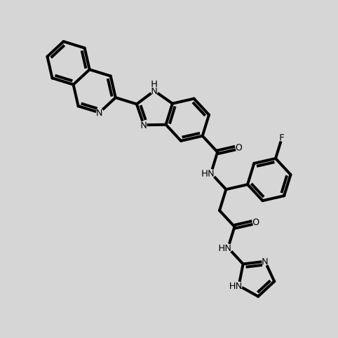 O=C(CC(NC(=O)c1ccc2[nH]c(-c3cc4ccccc4cn3)nc2c1)c1cccc(F)c1)Nc1ncc[nH]1